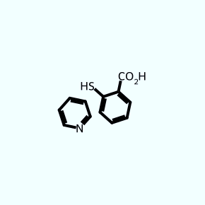 O=C(O)c1ccccc1S.c1ccncc1